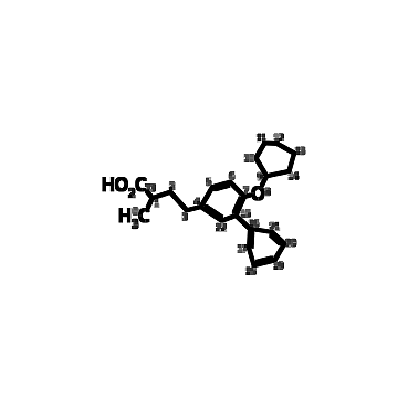 CC(CCc1ccc(OC2CCCCC2)c(-c2ccccc2)c1)C(=O)O